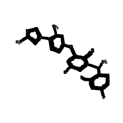 Cc1cn(-c2ccc(Oc3cc(Cl)cn([C@@H](C)c4ccc(F)cc4F)c3=O)cc2C)cn1